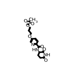 CS(=O)(=O)OCCCOc1ccc(C(=O)NC2CCC(=O)NC2=O)nc1